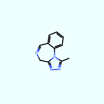 Cc1nnc2n1-c1ccccc1C=NC2